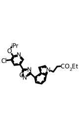 CCOC(=O)CCn1ccc2c(-c3noc(-c4cnc(OC(C)C)c(Cl)c4)n3)cccc21